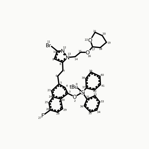 CC(C)(C)[Si](Oc1cc(CCc2cc(Br)nn2CCOC2CCCCO2)cc2cc(F)ccc12)(c1ccccc1)c1ccccc1